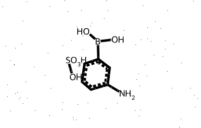 Nc1cccc(B(O)O)c1.O=S(=O)(O)O